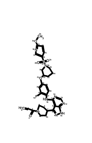 C=CC(=O)N1CCC(c2n[nH]c3ncnc(Nc4ccc(OC5CCCN(S(=O)(=O)c6ccc(OC)nc6)C5)cc4F)c23)CC1